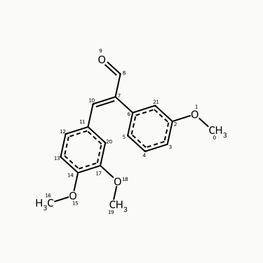 COc1cccc(/C(C=O)=C\c2ccc(OC)c(OC)c2)c1